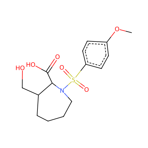 COc1ccc(S(=O)(=O)N2CCCCC(CO)C2C(=O)O)cc1